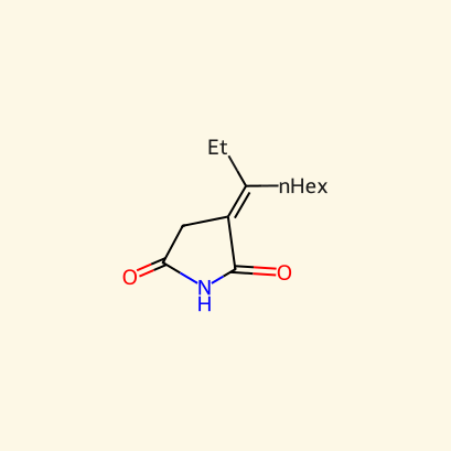 CCCCCCC(CC)=C1CC(=O)NC1=O